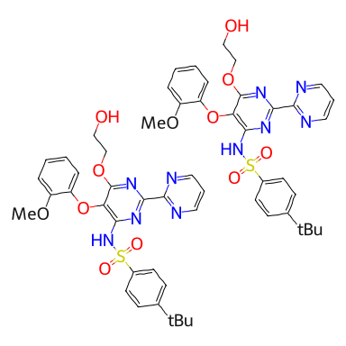 COc1ccccc1Oc1c(NS(=O)(=O)c2ccc(C(C)(C)C)cc2)nc(-c2ncccn2)nc1OCCO.COc1ccccc1Oc1c(NS(=O)(=O)c2ccc(C(C)(C)C)cc2)nc(-c2ncccn2)nc1OCCO